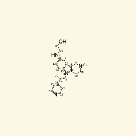 CC(=Cn1c2c(c3cc(NCCO)ccc31)CN(C)CC2)c1ccncc1